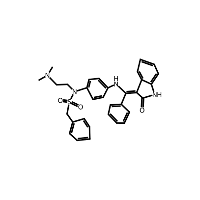 CN(C)CCN(c1ccc(NC(=C2C(=O)Nc3ccccc32)c2ccccc2)cc1)S(=O)(=O)Cc1ccccc1